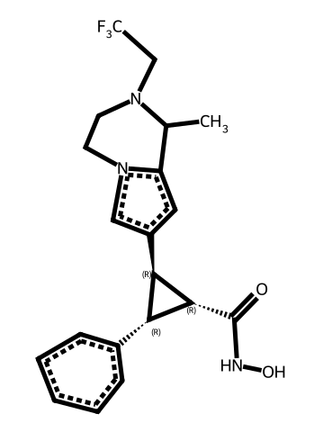 CC1c2cc([C@H]3[C@H](C(=O)NO)[C@@H]3c3ccccc3)cn2CCN1CC(F)(F)F